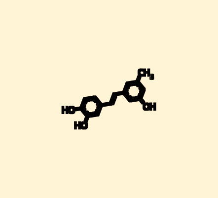 Cc1cc(O)cc(/C=C/c2ccc(O)c(O)c2)c1